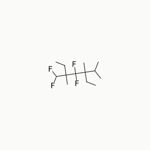 CCC(C)(C(C)C)C(F)(F)C(C)(CC)C(F)F